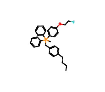 CCCCc1ccc(CP(C)(c2ccccc2)(c2ccccc2)c2ccc(OCCF)cc2)cc1